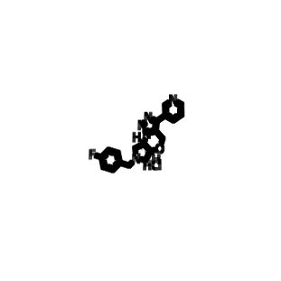 Cl.Fc1ccc(CN2C[C@@H]3[C@@H](C2)OCc2c(-c4cccnc4)nnn23)cc1